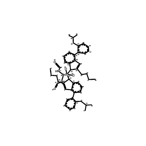 CCCCC1=Cc2c(-c3ccccc3CC(C)C)cccc2[CH]1[Zr]([Cl])([Cl])([B](NC=O)NC=O)[CH]1C(CCCC)=Cc2c(-c3ccccc3CC(C)C)cccc21